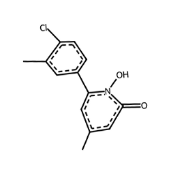 Cc1cc(-c2ccc(Cl)c(C)c2)n(O)c(=O)c1